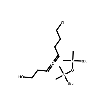 CC(C)(C)[Si](C)(C)O[Si](C)(C)C(C)(C)C.OCCC=C=CCCCCl